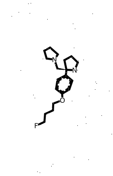 FCCCCOc1ccc([C@]2(CN3CCCC3)CCC[N]2)cc1